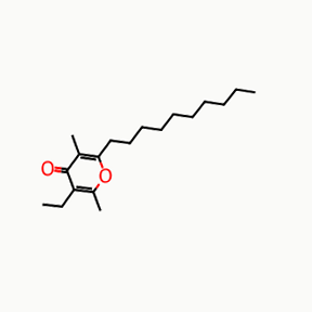 CCCCCCCCCCc1oc(C)c(CC)c(=O)c1C